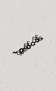 CCCCOc1ccc(COc2ccc(C3CCC(c4ccc(OCC)c(F)c4F)CC3)c(F)c2F)c(F)c1F